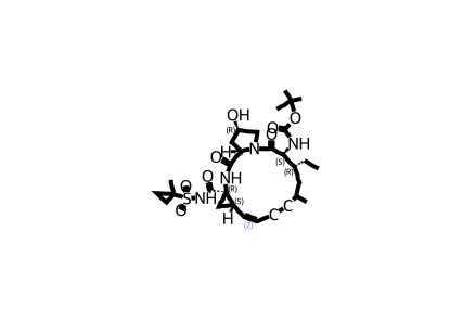 CC[C@@H]1CC(C)CC/C=C\[C@@H]2C[C@@]2(C(=O)NS(=O)(=O)C2(C)CC2)NC(=O)[C@@H]2C[C@@H](O)CN2C(=O)[C@H]1NC(=O)OC(C)(C)C